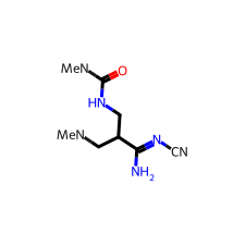 CNCC(CNC(=O)NC)/C(N)=N/C#N